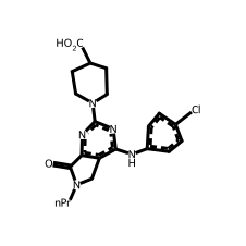 CCCN1Cc2c(Nc3ccc(Cl)cc3)nc(N3CCC(C(=O)O)CC3)nc2C1=O